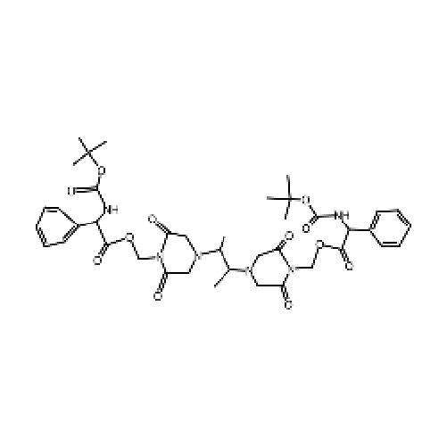 CC(C(C)N1CC(=O)N(COC(=O)C(NC(=O)OC(C)(C)C)c2ccccc2)C(=O)C1)N1CC(=O)N(COC(=O)C(NC(=O)OC(C)(C)C)c2ccccc2)C(=O)C1